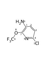 Nc1ccc(Cl)nc1OC(F)(F)F